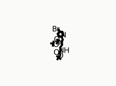 CC(C)(C)OC(=O)NCCN(Cc1ccc(Br)cn1)C(=O)OC(C)(C)C